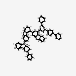 c1ccc(-c2ccc(-c3nc(-c4ccccc4)nc(-c4cc(-c5cccc6oc7cc(-n8c9ccccc9c9cc(-c%10ccccc%10)ccc98)ccc7c56)cc5oc6ccccc6c45)n3)cc2)cc1